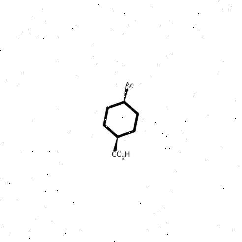 CC(=O)[C@H]1CC[C@@H](C(=O)O)CC1